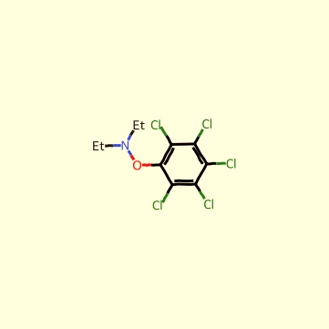 CCN(CC)Oc1c(Cl)c(Cl)c(Cl)c(Cl)c1Cl